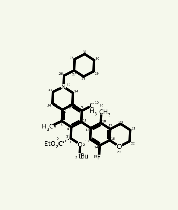 CCOC(=O)[C@@H](OC(C)(C)C)c1c(C)c2c(c(C)c1-c1cc(F)c3c(c1C)CCCO3)CN(CC1CCCCC1)CC2